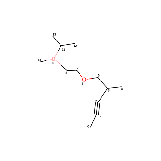 CC#CC(C)COCCB(C)C(C)C